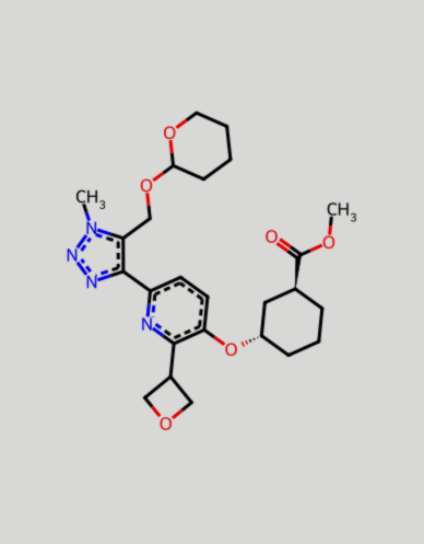 COC(=O)[C@H]1CCC[C@H](Oc2ccc(-c3nnn(C)c3COC3CCCCO3)nc2C2COC2)C1